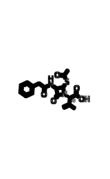 C=C(C)[C@H](C(=O)O)N1C(=O)C(NC(=O)Cc2ccccc2)C1SC(C)=O